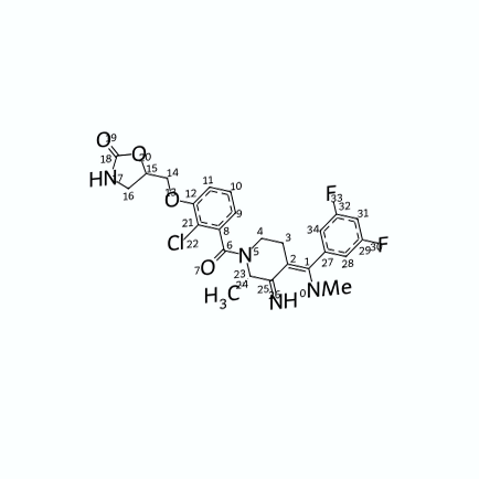 CN/C(=C1/CCN(C(=O)c2cccc(OCC3CNC(=O)O3)c2Cl)[C@@H](C)C1=N)c1cc(F)cc(F)c1